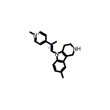 C/C(=C\n1c2c(c3cc(C)ccc31)CNCC2)c1cc[n+](C)cc1